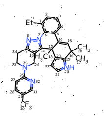 CCc1cccc2c1-n1nc3c(c1C1(C)C2=CC(C)(C)c2[nH]ccc21)CN(c1ccc(C(F)(F)F)cn1)CC3